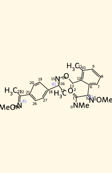 CNC(=O)/C(=N/OC)c1cccc(C)c1CO/N=C(\C)c1ccc(/C(C)=N/OC)cc1